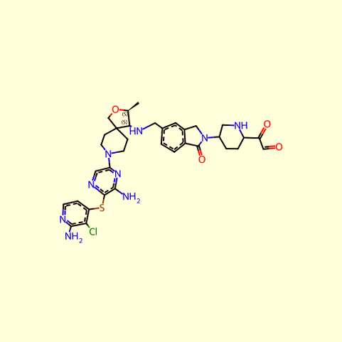 C[C@@H]1OCC2(CCN(c3cnc(Sc4ccnc(N)c4Cl)c(N)n3)CC2)[C@@H]1NCc1ccc2c(c1)CN(C1CCC(C(=O)C=O)NC1)C2=O